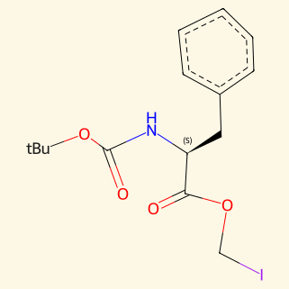 CC(C)(C)OC(=O)N[C@@H](Cc1ccccc1)C(=O)OCI